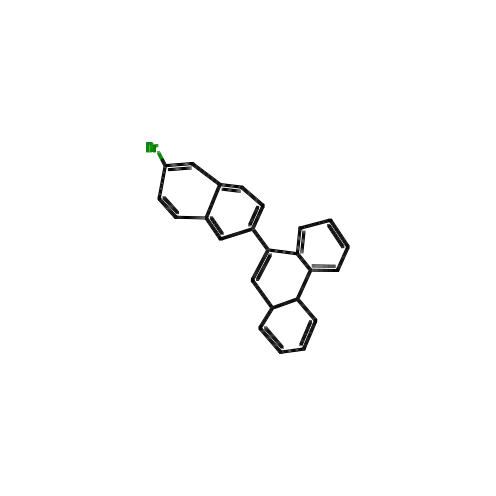 Brc1ccc2cc(C3=CC4C=CC=CC4c4ccccc43)ccc2c1